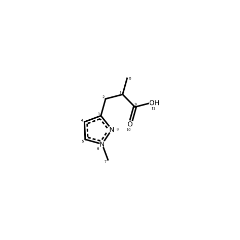 CC(Cc1ccn(C)n1)C(=O)O